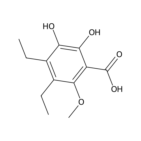 CCc1c(O)c(O)c(C(=O)O)c(OC)c1CC